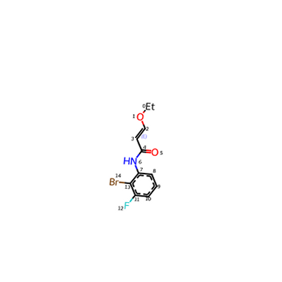 CCO/C=C/C(=O)Nc1cccc(F)c1Br